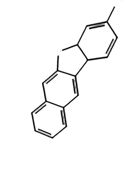 CC1=CC2Oc3cc4ccccc4cc3C2C=C1